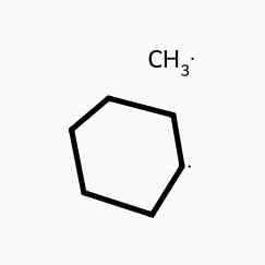 [CH3].[CH]1CCCCC1